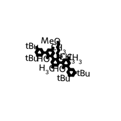 COCCCCN(C)c1c(-c2cc(C)cc(-c3cc(C(C)(C)C)cc(C(C)(C)C)c3)c2O)cc(C)cc1-c1cc(C)cc(-c2cc(C(C)(C)C)cc(C(C)(C)C)c2)c1O